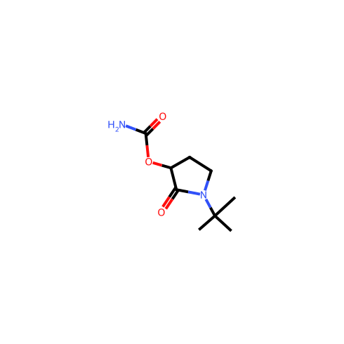 CC(C)(C)N1CCC(OC(N)=O)C1=O